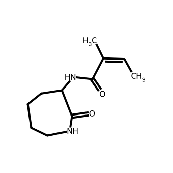 C/C=C(/C)C(=O)NC1CCCCNC1=O